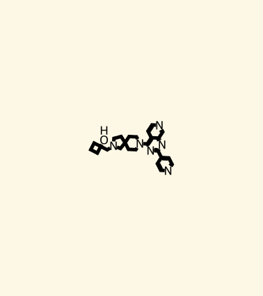 OC1(CN2CCC3(CCN(c4nc(-c5ccncc5)nc5cnccc45)CC3)C2)CCC1